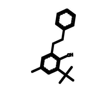 Cc1cc(CCc2ccccc2)c(O)c(C(C)(C)C)c1